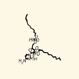 CCCCCCCCCCOP(=O)(O)OCC1OC(N2C=CC(N)=NC2O)C(F)(F)[C@@H]1OC(=O)CCCCCCCCCC